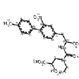 CCOC(=O)C(O)CN(CC(C)C)C(=O)N[C@@H](Cc1ccc(-c2ccc(C)cc2)c([N+](=O)[O-])c1)C(=O)O